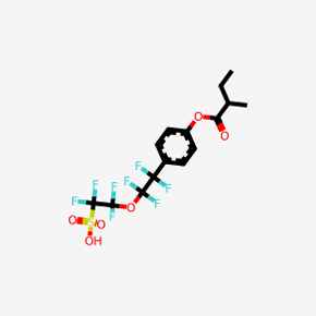 CCC(C)C(=O)Oc1ccc(C(F)(F)C(F)(F)OC(F)(F)C(F)(F)S(=O)(=O)O)cc1